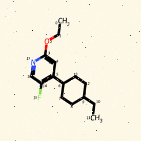 CCOc1cc(C2CCC(CC)CC2)c(F)cn1